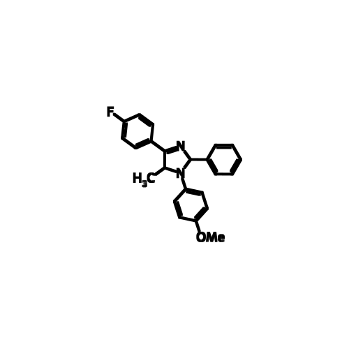 COc1ccc(N2C(C)C(c3ccc(F)cc3)=NC2c2ccccc2)cc1